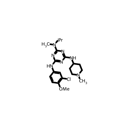 COc1ccc(Nc2nc(NC3CCN(C)CC3)nc(N(C)C(C)C)n2)cc1Cl